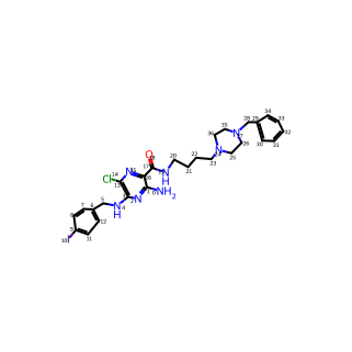 Nc1nc(NCc2ccc(I)cc2)c(Cl)nc1C(=O)NCCCCN1CCN(Cc2ccccc2)CC1